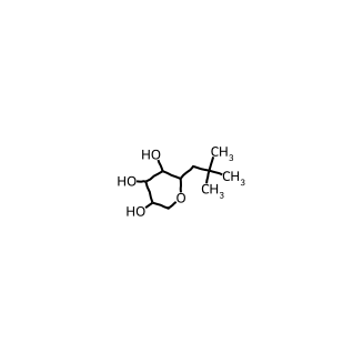 CC(C)(C)CC1OCC(O)C(O)C1O